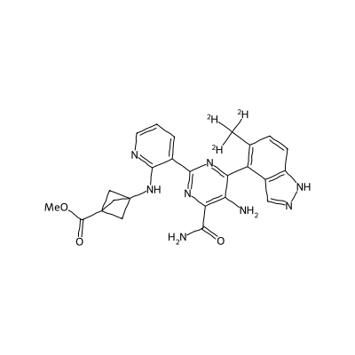 [2H]C([2H])([2H])c1ccc2[nH]ncc2c1-c1nc(-c2cccnc2NC23CC(C(=O)OC)(C2)C3)nc(C(N)=O)c1N